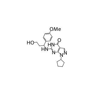 COc1ccc(C(CCO)Nc2nc3c(cnn3C3CCCC3)c(=O)[nH]2)cc1